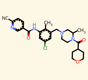 Cc1c(CN2CCN(C(=O)C3CCOCC3)C(C)C2)cc(Cl)cc1NC(=O)c1ccc(C#N)nc1